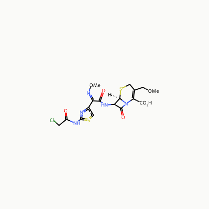 COCC1=C(C(=O)O)N2C(=O)C(NC(=O)/C(=N\OC)c3csc(NC(=O)CCl)n3)[C@H]2SC1